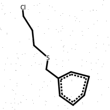 ClCCCSCc1ccccc1